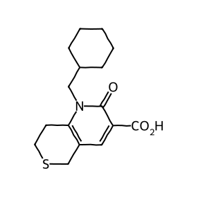 O=C(O)c1cc2c(n(CC3CCCCC3)c1=O)CCSC2